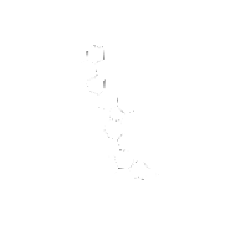 Cc1c(C)n(Cc2ccc(-c3ccccc3C(=O)O)cc2)c2ccc(C(=O)NC(C)c3ccc(Br)cn3)cc12